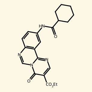 CCOC(=O)c1cnc2c3cc(NC(=O)C4CCCCC4)ccc3ncn2c1=O